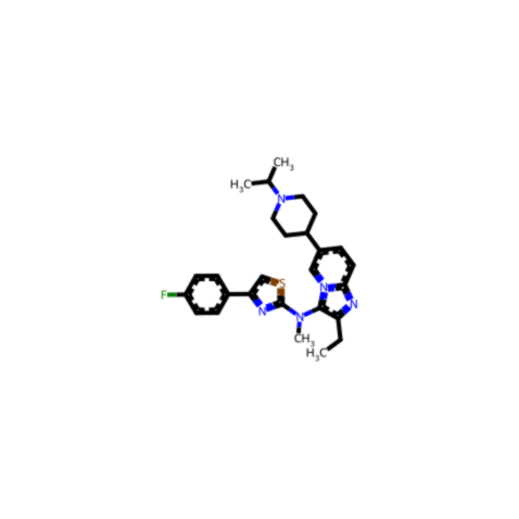 CCc1nc2ccc(C3CCN(C(C)C)CC3)cn2c1N(C)c1nc(-c2ccc(F)cc2)cs1